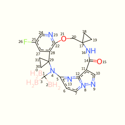 BC(B)(B)N1c2ccn3ncc(c3n2)C(=O)NC2(CC2)COc2ncc(F)cc2C12CC2